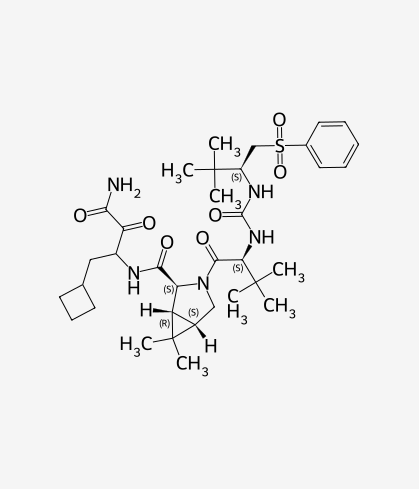 CC(C)(C)[C@H](NC(=O)N[C@H](CS(=O)(=O)c1ccccc1)C(C)(C)C)C(=O)N1C[C@H]2[C@@H]([C@H]1C(=O)NC(CC1CCC1)C(=O)C(N)=O)C2(C)C